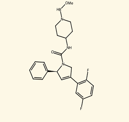 COBN1CCC(NC(=O)N2CC(c3cc(F)ccc3F)=C[C@H]2c2ccccc2)CC1